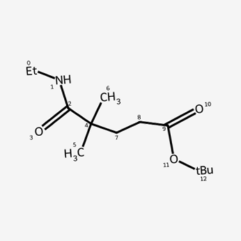 CCNC(=O)C(C)(C)CCC(=O)OC(C)(C)C